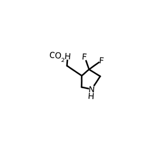 O=C(O)CC1CNCC1(F)F